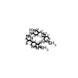 CC(C)c1c2cc(-c3nc(Nc4ccc(CN5CC6(CCN(C)CC6)C5)cn4)ncc3F)cnc2nn1C